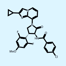 COc1cc(F)c([C@@H]2CN(c3cccn4cc(C5CC5)nc34)C(=O)[C@H]2NC(=O)c2ccc(Cl)cc2)c(F)c1